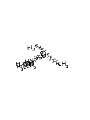 CCCCCCCCCC(CCCCCC)OC(=O)CCCCCNC(=O)OC(C)(C)C